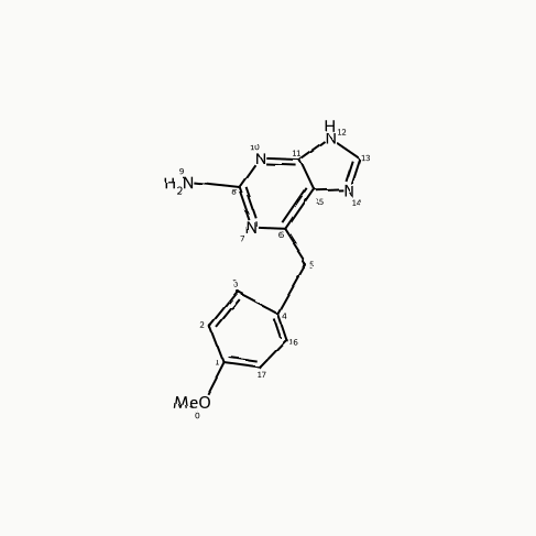 COc1ccc(Cc2nc(N)nc3[nH]cnc23)cc1